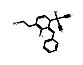 CC1=C(CCO)C=CC(C(N)(C#N)C#N)C1=Cc1ccccc1